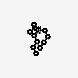 c1ccc(-c2ccc(-c3cccc(-c4cccc(-c5nc(-c6cccc(-c7cccc(-c8cccc(-c9ccccc9)c8)c7)c6)c6c(n5)c5ccccc5n6-c5ccccc5)c4)c3)cc2)cc1